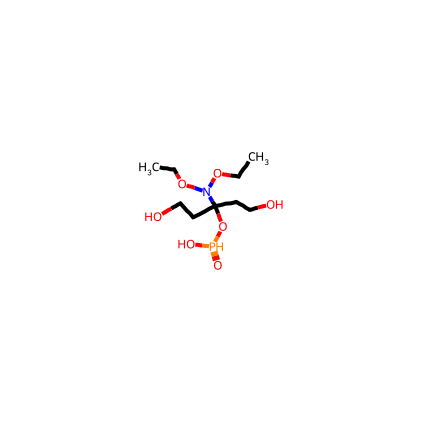 CCON(OCC)C(CCO)(CCO)O[PH](=O)O